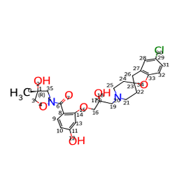 C[C@]1(O)CON(C(=O)c2ccc(O)cc2OC[C@@H](O)CN2CCC3(CC2)Cc2cc(Cl)ccc2O3)C1